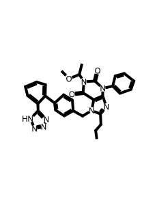 CCCc1nc2c(c(=O)n(C(C)OC)c(=O)n2-c2ccccc2)n1Cc1ccc(-c2ccccc2-c2nnn[nH]2)cc1